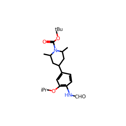 CC(C)Oc1cc(C2CC(C)N(C(=O)OC(C)(C)C)C(C)C2)ccc1NC=O